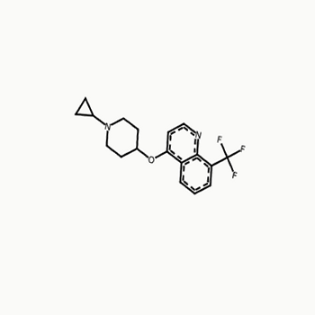 FC(F)(F)c1cccc2c(OC3CCN(C4CC4)CC3)ccnc12